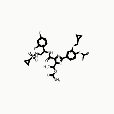 CC(OC(N)=O)c1oc(-c2ccc(OC(F)F)c(OCC3CC3)c2)nc1C(=O)NC(CNS(=O)(=O)C1CC1)c1ccc(F)cc1F